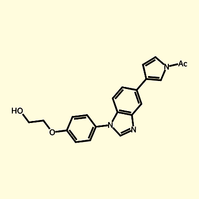 CC(=O)n1ccc(-c2ccc3c(c2)ncn3-c2ccc(OCCO)cc2)c1